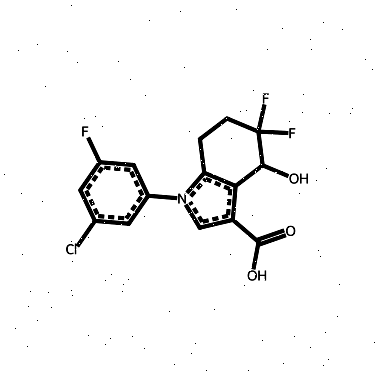 O=C(O)c1cn(-c2cc(F)cc(Cl)c2)c2c1C(O)C(F)(F)CC2